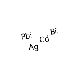 [Ag].[Bi].[Cd].[Pb]